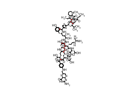 CCCC(=O)OCN(C(=O)C(NC(=O)[C@H]1CCCCN1C)[C@@H](C)CC)[C@H](C[C@@H](OC(C)=O)c1nc(C(=O)N[C@@H](Cc2ccc(O)cc2)C[C@H](C)[C@@H](O)NNC(=O)OCCSSC[C@@H](NC(=O)[C@@H](CC(=O)O)NC(=O)[C@@H](CC(=O)O)NC(=O)[C@@H](CCCNC(N)N)NC(=O)[C@@H](CC(=O)O)NC(=O)CC[C@@H](NC(=O)c2ccc(NCC3=NC4C(=O)NC(N)=NC4N=C3)cc2)C(=O)O)C(=O)O)cs1)C(C)C